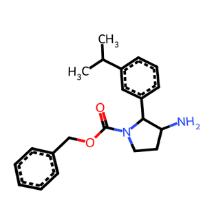 CC(C)c1cccc(C2C(N)CCN2C(=O)OCc2ccccc2)c1